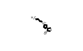 C1CCSC1.CC=CC=[CH][V+2][C]1=CC=CC1.[Cl-].[Cl-]